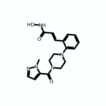 Cn1nccc1C(=O)N1CCN(c2ccccc2C=CC(=O)NO)CC1